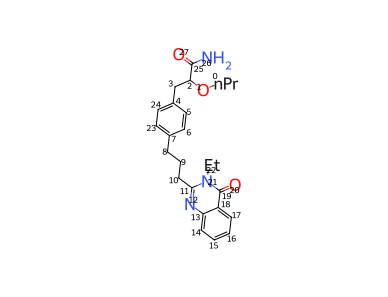 CCCOC(Cc1ccc(CCCc2nc3ccccc3c(=O)n2CC)cc1)C(N)=O